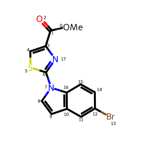 COC(=O)c1csc(-n2ccc3cc(Br)ccc32)n1